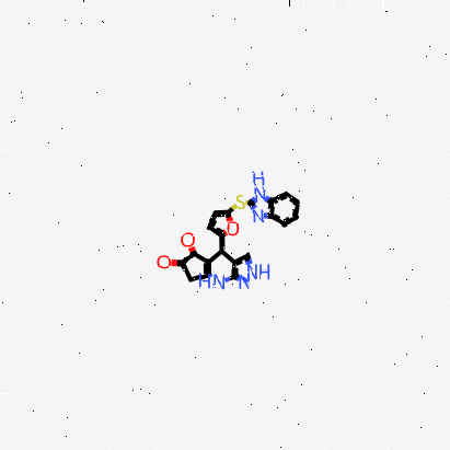 O=C1CC2=C(C1=O)C(c1ccc(Sc3nc4ccccc4[nH]3)o1)c1c[nH]nc1N2